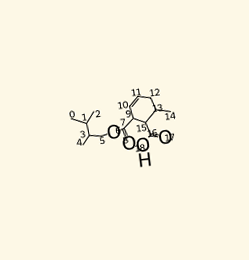 CC(C)C(C)COC(=O)C1C=CCC(C)C1C(=O)O